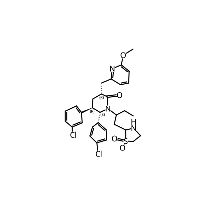 CCC(CC1NCCS1(=O)=O)N1C(=O)[C@@H](Cc2cccc(OC)n2)C[C@H](c2cccc(Cl)c2)[C@H]1c1ccc(Cl)cc1